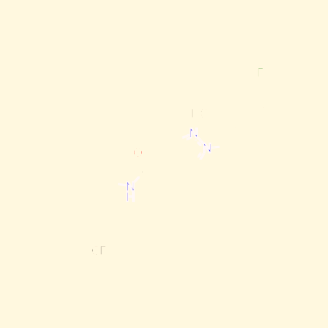 Cc1cc(F)ccc1Cn1ncc2c(C(=O)NCc3cccc(C(F)(F)F)c3)cccc21